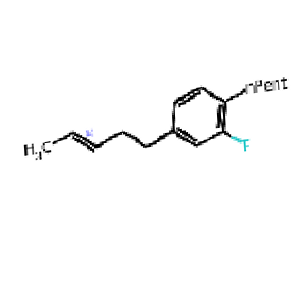 C/C=C/CCc1ccc(CCCCC)c(F)c1